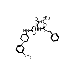 CC(C)(C)OC(=O)[C@H](CC(=O)NC1CCN(c2cccc(N)c2)CC1)NC(=O)OCc1ccccc1